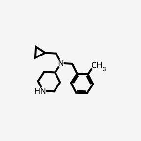 Cc1ccccc1CN(CC1CC1)C1CCNCC1